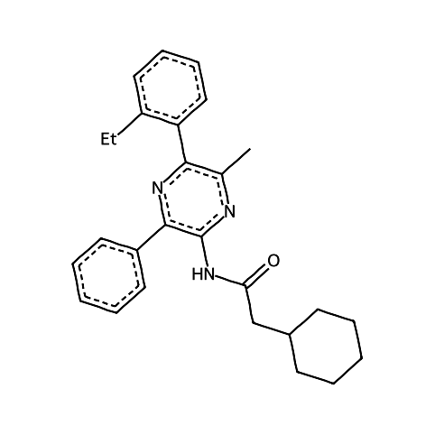 CCc1ccccc1-c1nc(-c2ccccc2)c(NC(=O)CC2CCCCC2)nc1C